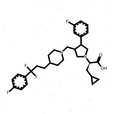 O=C(O)[C@@H](CC1CC1)N1CC(CN2CCC(CCC(F)(F)c3ccc(F)cc3)CC2)C(c2cccc(F)c2)C1